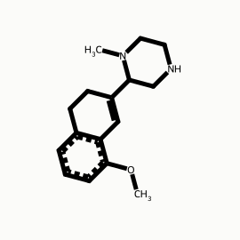 COc1cccc2c1C=C(C1CNCCN1C)CC2